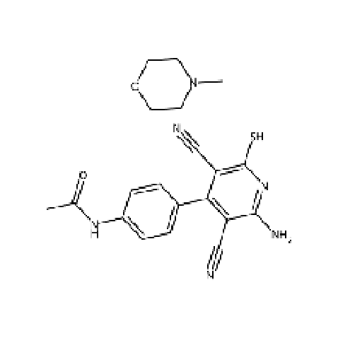 CC(=O)Nc1ccc(-c2c(C#N)c(N)nc(S)c2C#N)cc1.CN1CCOCC1